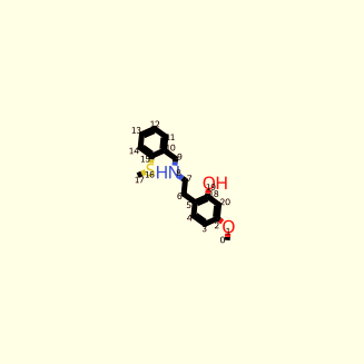 COc1ccc(CCNCc2ccccc2SC)c(O)c1